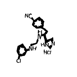 Cl.N#Cc1ccc(CC(NCCNc2cccc(Cl)c2)c2cnc[nH]2)cc1